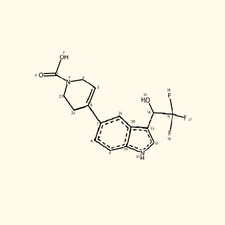 O=C(O)N1CC=C(c2ccc3[nH]cc(C(O)C(F)(F)F)c3c2)CC1